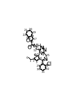 CCc1cc2c(s1)-n1c(nnc1CNC(=O)c1cc3ccccc3o1)CN=C2c1ccccc1Cl